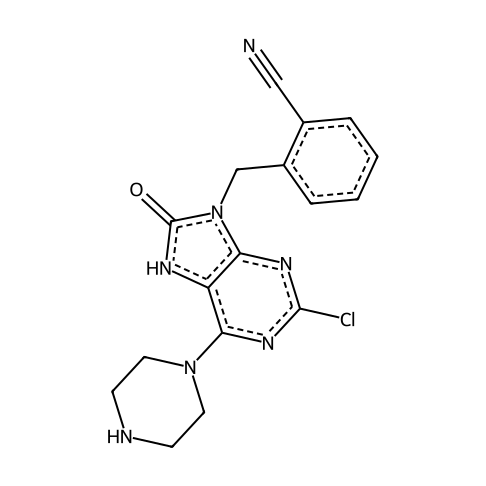 N#Cc1ccccc1Cn1c(=O)[nH]c2c(N3CCNCC3)nc(Cl)nc21